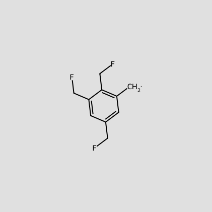 [CH2]c1cc(CF)cc(CF)c1CF